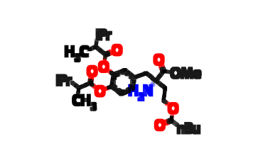 CCCCC(=O)OCC[C@@](N)(Cc1ccc(OC(=O)C(C)C(C)C)c(OC(=O)C(C)C(C)C)c1)C(=O)OC